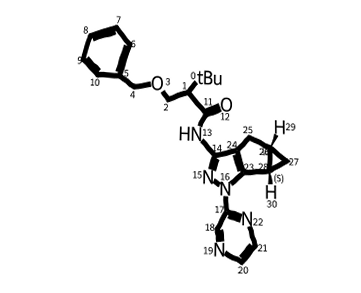 CC(C)(C)C(COCc1ccccc1)C(=O)Nc1nn(-c2cnccn2)c2c1C[C@@H]1C[C@H]21